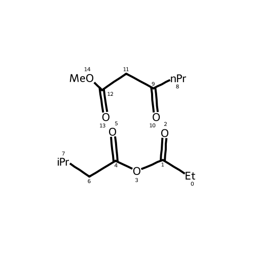 CCC(=O)OC(=O)CC(C)C.CCCC(=O)CC(=O)OC